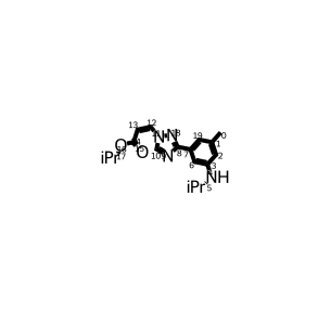 Cc1cc(NC(C)C)cc(-c2ncn(/C=C\C(=O)OC(C)C)n2)c1